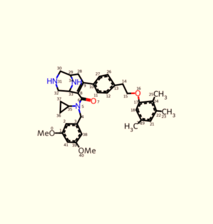 COc1cc(CN(C(=O)C2=C(c3ccc(CCOc4cc(C)cc(C)c4C)cc3)CC3CNCC2N3)C2CC2)cc(OC)c1